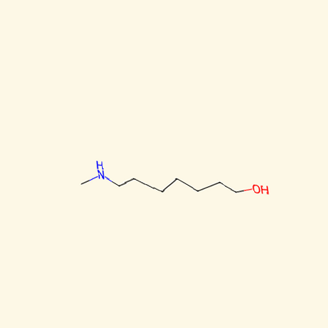 CNCCCCCCCO